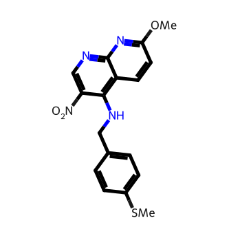 COc1ccc2c(NCc3ccc(SC)cc3)c([N+](=O)[O-])cnc2n1